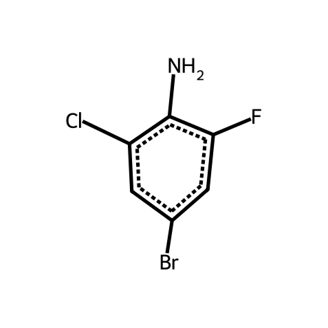 Nc1c(F)cc(Br)cc1Cl